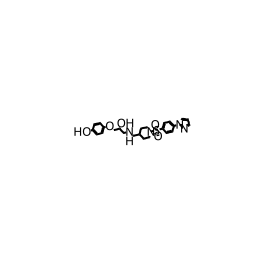 O=S(=O)(c1ccc(-n2cccn2)cc1)N1CCC(CNCC(O)COc2ccc(O)cc2)CC1